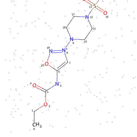 CCOC(=O)[N-]c1c[n+](N2CCN(S(C)(=O)=O)CC2)no1